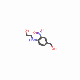 O=[N+]([O-])c1cc(CO)ccc1NCCO